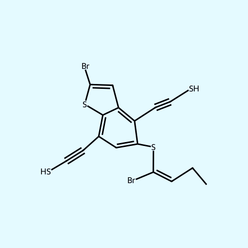 CC/C=C(/Br)Sc1cc(C#CS)c2sc(Br)cc2c1C#CS